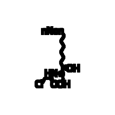 CCCCCCCCCCCCCCC[C@@H](O)[C@H](CO)NC(=O)CCl